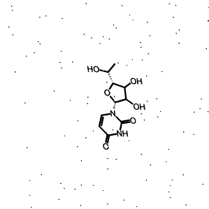 CC(O)[C@H]1O[C@@H](n2ccc(=O)[nH]c2=O)C(O)C1O